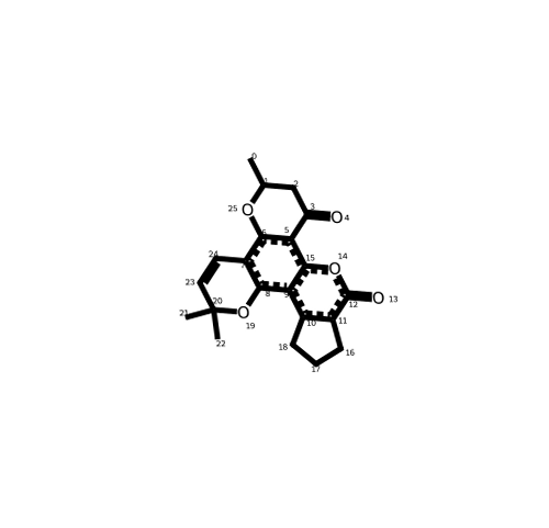 CC1CC(=O)c2c(c3c(c4c5c(c(=O)oc24)CCC5)OC(C)(C)C=C3)O1